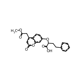 COC(=O)Cc1cc(=O)oc2cc(OC(CCc3ccccc3)C(=O)O)ccc12